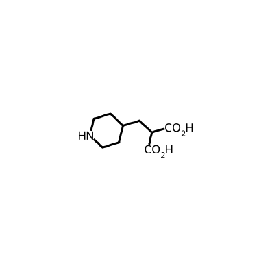 O=C(O)C(CC1CCNCC1)C(=O)O